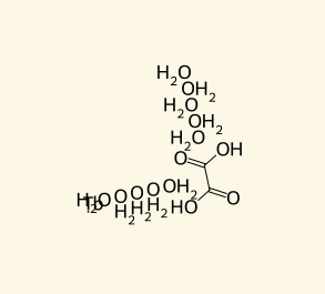 O.O.O.O.O.O.O.O.O.O.O=C(O)C(=O)O.[Tb]